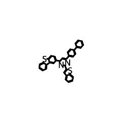 c1ccc(-c2ccc(-c3cc(-c4ccc5sc6ccccc6c5c4)nc(-c4cc5ccccc5s4)n3)cc2)cc1